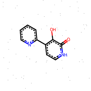 O=c1[nH]ccc(-c2ccccn2)c1O